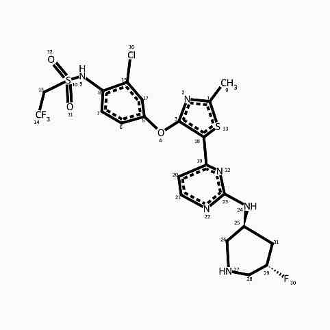 Cc1nc(Oc2ccc(NS(=O)(=O)CC(F)(F)F)c(Cl)c2)c(-c2ccnc(N[C@@H]3CNC[C@@H](F)C3)n2)s1